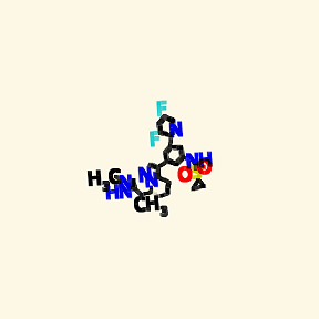 C[C@H](c1cn(C)[nH]1)[C@H]1CC=Cc2c(-c3cc(NS(=O)(=O)C4CC4)cc(-c4ncc(F)cc4F)c3)cnn21